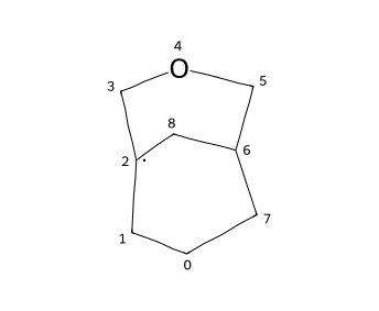 C1C[C]2COCC(C1)C2